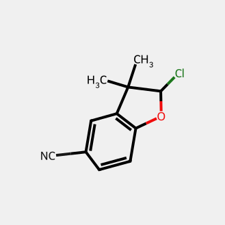 CC1(C)c2cc(C#N)ccc2OC1Cl